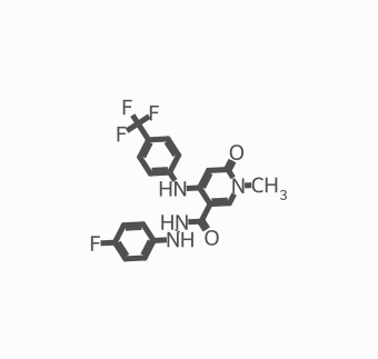 Cn1cc(C(=O)NNc2ccc(F)cc2)c(Nc2ccc(C(F)(F)F)cc2)cc1=O